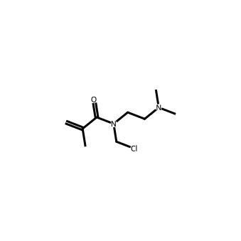 C=C(C)C(=O)N(CCl)CCN(C)C